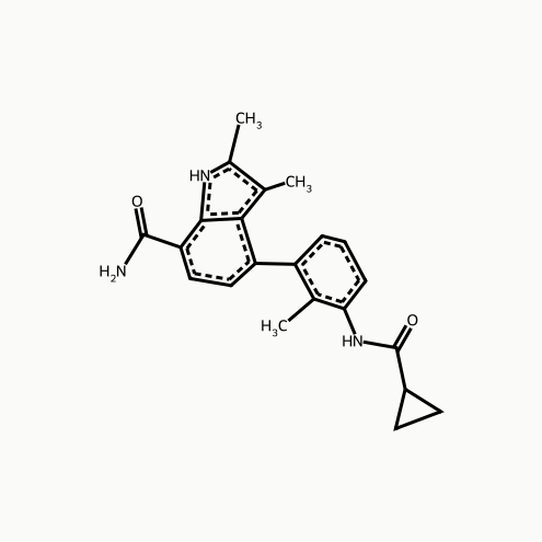 Cc1[nH]c2c(C(N)=O)ccc(-c3cccc(NC(=O)C4CC4)c3C)c2c1C